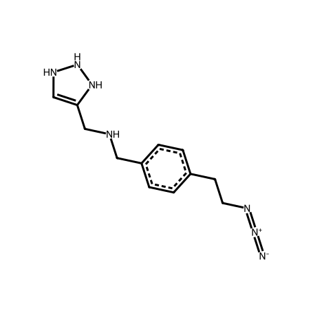 [N-]=[N+]=NCCc1ccc(CNCC2=CNNN2)cc1